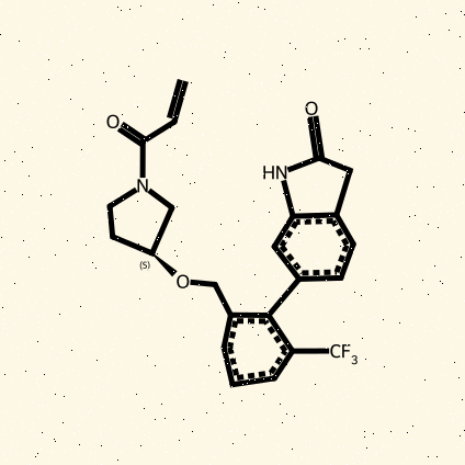 C=CC(=O)N1CC[C@H](OCc2cccc(C(F)(F)F)c2-c2ccc3c(c2)NC(=O)C3)C1